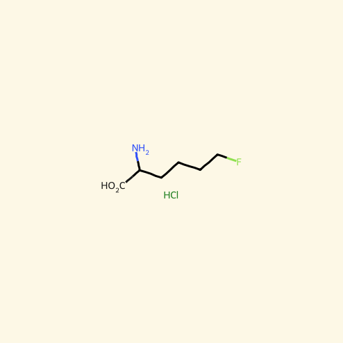 Cl.NC(CCCCF)C(=O)O